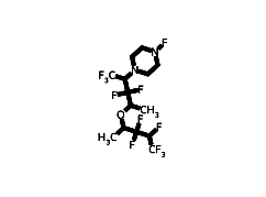 CC(OC(C)C(F)(F)C(N1CCN(F)CC1)C(F)(F)F)C(F)(F)C(F)C(F)(F)F